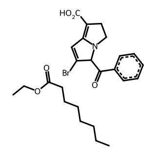 CCCCCCCC(=O)OCC.O=C(O)C1=C2C=C(Br)C(C(=O)c3ccccc3)N2CC1